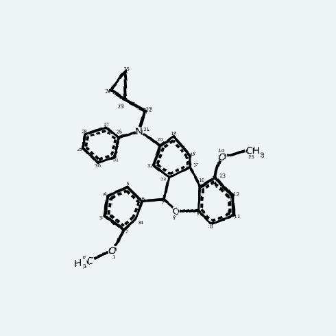 COc1cccc(C2Oc3cccc(OC)c3-c3ccc(N(CC4CC4)c4ccccc4)cc32)c1